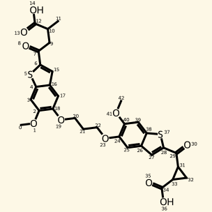 COc1cc2sc(C(=O)CC(C)C(=O)O)cc2cc1OCCCOc1cc2cc(C(=O)C3CC3C(=O)O)sc2cc1OC